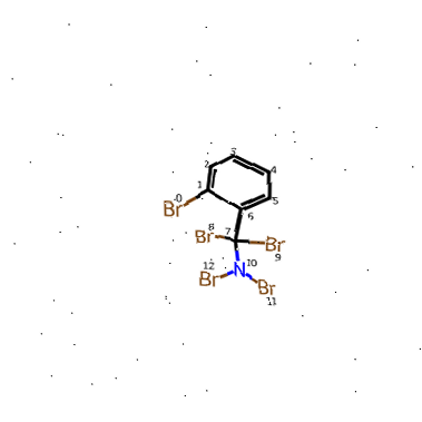 Brc1ccccc1C(Br)(Br)N(Br)Br